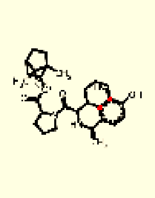 C=C(NC(C(=O)N1CCCC1C(=O)OC1CC2CCC1(C)C2(C)C)C1CCCCC1)c1ccc(O)c(O)c1